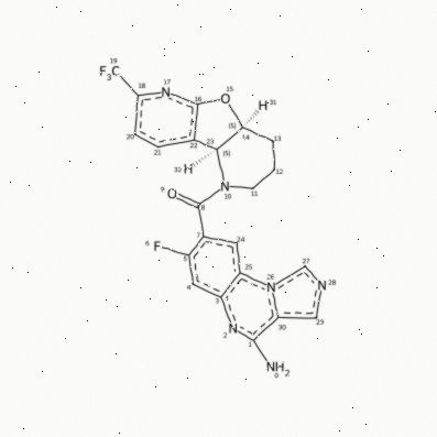 Nc1nc2cc(F)c(C(=O)N3CCC[C@@H]4Oc5nc(C(F)(F)F)ccc5[C@@H]43)cc2n2cncc12